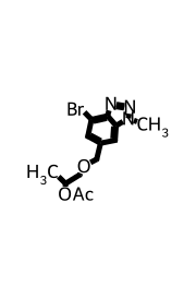 CC(=O)OC(C)COCc1cc(Br)c2nnn(C)c2c1